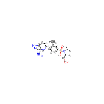 Cc1cc(S(=O)(=O)N2CCCC2CO)ccc1-c1ccc2[nH]nc(N)c2n1